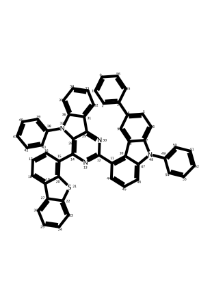 c1ccc(-c2ccc3c(c2)c2c(-c4nc(-c5cccc6c5sc5ccccc56)c5c(n4)c4ccccc4n5-c4ccccc4)cccc2n3-c2ccccc2)cc1